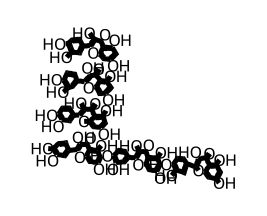 O=c1c(O)c(-c2ccc(O)c(O)c2)oc2cc(O)cc(O)c12.O=c1c(O)c(-c2ccc(O)c(O)c2)oc2cc(O)cc(O)c12.O=c1c(O)c(-c2ccc(O)c(O)c2)oc2cc(O)cc(O)c12.O=c1c(O)c(-c2ccc(O)c(O)c2)oc2cc(O)cc(O)c12.O=c1c(O)c(-c2ccc(O)c(O)c2)oc2cc(O)cc(O)c12.O=c1c(O)c(-c2ccc(O)c(O)c2)oc2cc(O)cc(O)c12